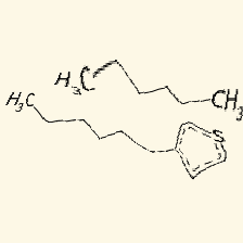 CCCCCC.CCCCCCc1ccsc1